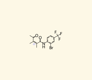 CC(=O)/C(C)=C(/C)C(=O)Nc1ccc(C(F)(F)F)cc1Br